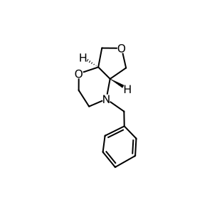 c1ccc(CN2CCO[C@H]3COC[C@@H]32)cc1